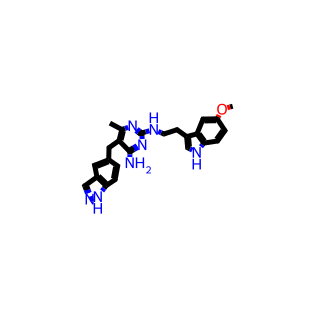 COc1ccc2[nH]cc(CCNc3nc(C)c(Cc4ccc5[nH]ncc5c4)c(N)n3)c2c1